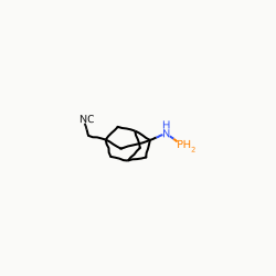 [C-]#[N+]CC12CC3CC(C1)C(NP)(C3)C2